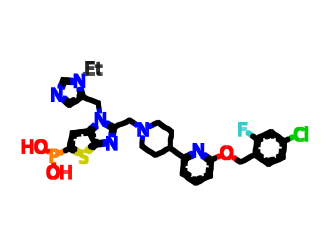 CCn1cncc1Cn1c(CN2CCC(c3cccc(OCc4ccc(Cl)cc4F)n3)CC2)nc2sc(P(O)O)cc21